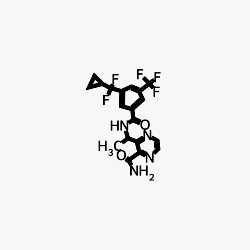 CC(NC(=O)c1cc(C(F)(F)F)cc(C(F)(F)C2CC2)c1)c1nccnc1C(N)=O